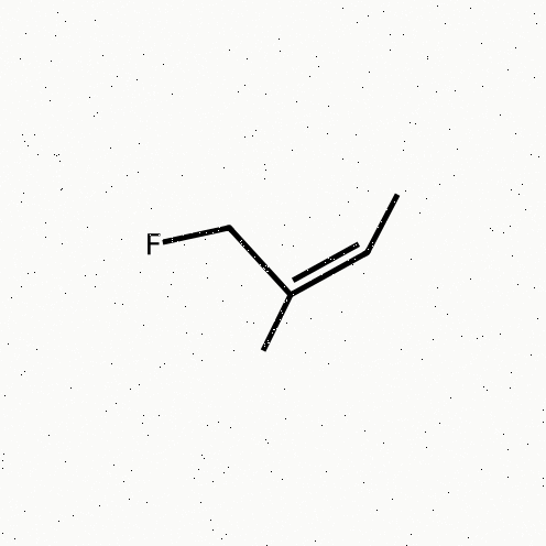 CC=C(C)CF